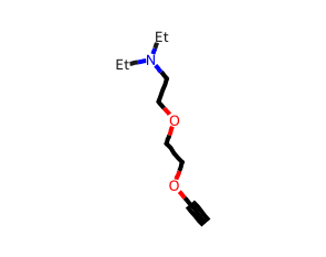 C#COCCOCCN(CC)CC